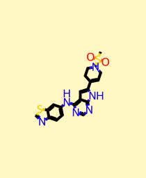 CS(=O)(=O)N1CC=C(c2cc3c(Nc4ccc5ncsc5c4)ncnc3[nH]2)CC1